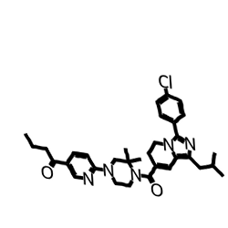 CCCC(=O)c1ccc(N2CCN(C(=O)C3=Cc4c(CC(C)C)nc(-c5ccc(Cl)cc5)n4CC3)C(C)(C)C2)nc1